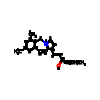 Cc1cc(C)c(Cn2ccc(/C=C/C(=O)N(C)O)c2)c(C)c1